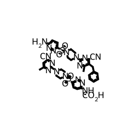 Cc1cc(C#N)nc(N2CCN(S(=O)(=O)c3ccc(NC(=O)O)nn3)CC2)n1.Cc1nc(N2CCN(S(=O)(=O)c3ccc(N)nn3)CC2)nc(C#N)c1Cc1ccccc1